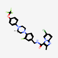 Cc1nc2ccc(Cl)cn2c1C(=O)NCc1ccc(N2CCN(c3ccc(OC(F)(F)F)cc3)[C@@H](C)C2)c(F)c1